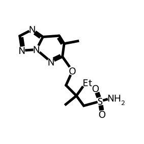 CCC(C)(COc1nn2ncnc2cc1C)CS(N)(=O)=O